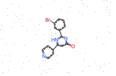 O=c1cc(-c2ccncc2)[nH]c(-c2cccc(Br)c2)n1